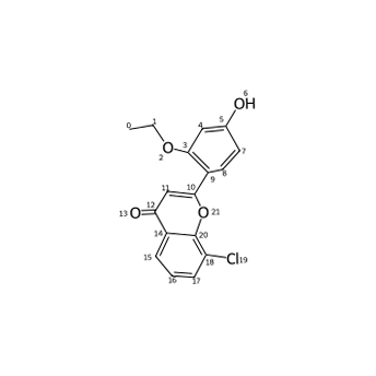 CCOc1cc(O)ccc1-c1cc(=O)c2cccc(Cl)c2o1